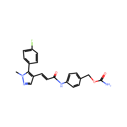 Cn1ncc(/C=C/C(=O)Nc2ccc(COC(N)=O)cc2)c1-c1ccc(F)cc1